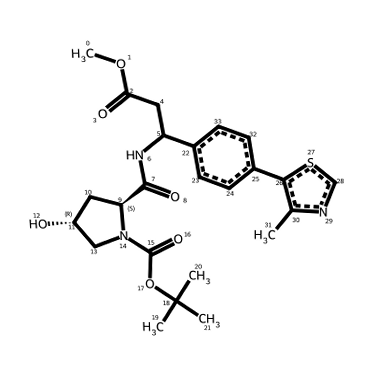 COC(=O)CC(NC(=O)[C@@H]1C[C@@H](O)CN1C(=O)OC(C)(C)C)c1ccc(-c2scnc2C)cc1